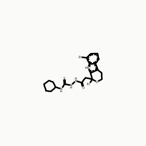 CCc1cccc2c3c([nH]c12)C(CC)(CC(=O)NNC(=S)NC1CCCCC1)OCC3